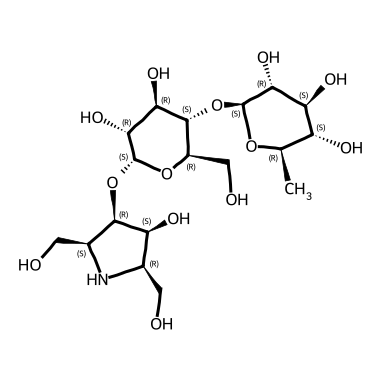 C[C@H]1O[C@@H](O[C@H]2[C@H](O)[C@@H](O)[C@@H](O[C@H]3[C@@H](O)[C@@H](CO)N[C@H]3CO)O[C@@H]2CO)[C@H](O)[C@@H](O)[C@@H]1O